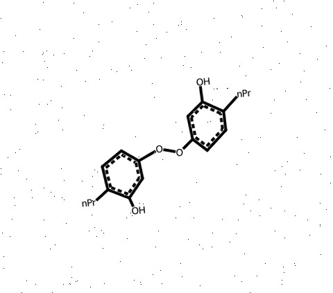 CCCc1ccc(OOc2ccc(CCC)c(O)c2)cc1O